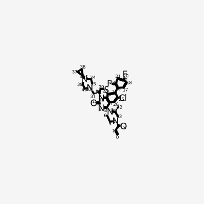 C=CC(=O)N1CCN(c2nc(=O)n3c4c(c(-c5ccc(F)cc5F)c(Cl)cc24)SC[C@@H]3CN2CCN(C3CC3)CC2)[C@@H](C)C1